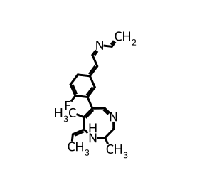 C=C/N=C\C=C1C=C(C2=C(C)/C(=C/C)NC(C)C/N=C\2)C(F)=CC\1